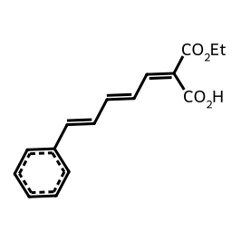 CCOC(=O)C(=CC=CC=Cc1ccccc1)C(=O)O